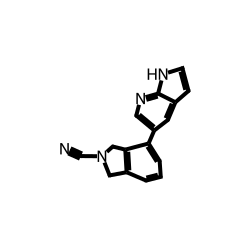 N#CN1Cc2cccc(-c3cnc4[nH]ccc4c3)c2C1